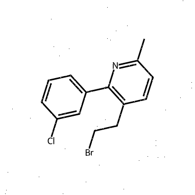 Cc1ccc(CCBr)c(-c2cccc(Cl)c2)n1